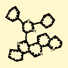 c1ccc(-c2cc(-c3nc4ccccc4c4cnc5c(ccc6cccnc65)c34)nc(-c3ccccc3)n2)cc1